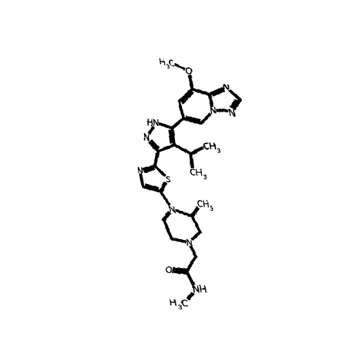 CNC(=O)CN1CCN(c2cnc(-c3n[nH]c(-c4cc(OC)c5ncnn5c4)c3C(C)C)s2)C(C)C1